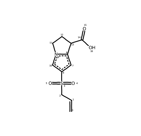 C=CCS(=O)(=O)c1cc2n(c1)CCC2C(=O)O